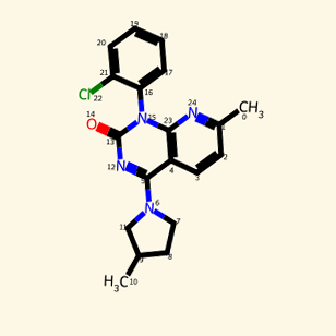 Cc1ccc2c(N3CCC(C)C3)nc(=O)n(-c3ccccc3Cl)c2n1